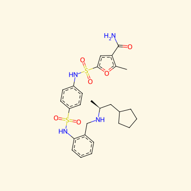 Cc1oc(S(=O)(=O)Nc2ccc(S(=O)(=O)Nc3ccccc3CN[C@@H](C)CC3CCCC3)cc2)cc1C(N)=O